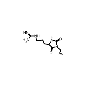 CC(=O)CN1C(=O)NC(CCCNC(=N)N)C1=O